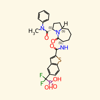 CN(C(=O)[C@@H]1CC[C@@H]2CCC[C@H](NC(=O)c3cc4cc(C(F)(F)P(=O)(O)O)ccc4s3)C(=O)N21)c1ccccc1